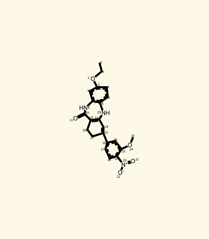 CCOc1ccc2c(c1)NC(=O)C1=C(C=C(c3ccc([N+](=O)[O-])c(OC)c3)CC1)N2